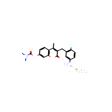 CNS(=O)(=O)Nc1ccc(F)c(Cc2c(C)c3ccc(OC(=O)N(C)C)cc3oc2=O)c1